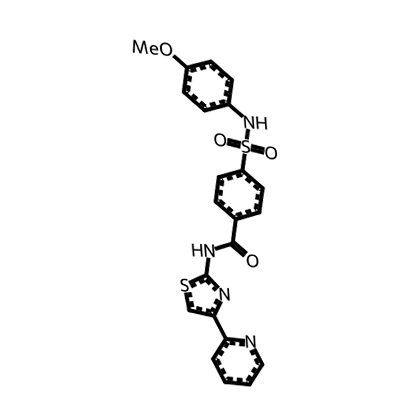 COc1ccc(NS(=O)(=O)c2ccc(C(=O)Nc3nc(-c4ccccn4)cs3)cc2)cc1